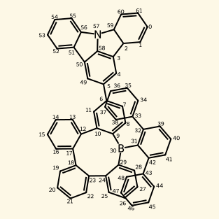 C1=CC2c3cc(-c4ccc5c(c4)-c4ccccc4-c4ccccc4-c4ccccc4B5c4c(-c5ccccc5)cccc4-c4ccccc4)cc4c5ccccc5n(c34)C2C=C1